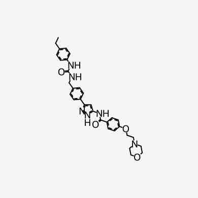 CCc1ccc(NC(=O)NCc2ccc(-c3cc(NC(=O)c4ccc(OCCN5CCOCC5)cc4)[nH]n3)cc2)cc1